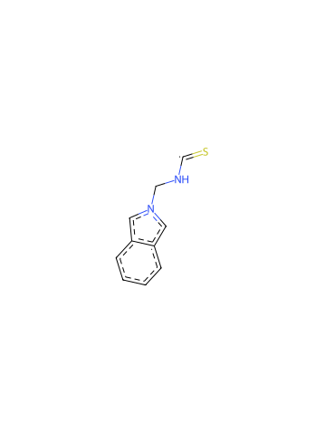 S=[C]NCn1cc2ccccc2c1